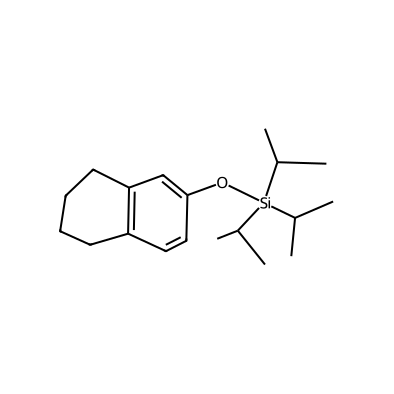 CC(C)[Si](Oc1ccc2c(c1)CCCC2)(C(C)C)C(C)C